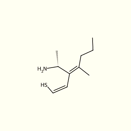 CCC/C(C)=C(/C=C\S)[C@@H](C)N